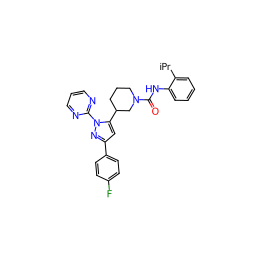 CC(C)c1ccccc1NC(=O)N1CCCC(c2cc(-c3ccc(F)cc3)nn2-c2ncccn2)C1